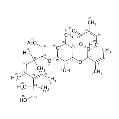 C/C=C(/C)C(=O)OC1C(O)[C@H](O[C@@H](COC(C)=O)C(C)(C)CC(C)/C(=C/C)C(C)(C)CO)OC(C)[C@@H]1OC(=O)/C(C)=C\C